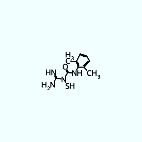 Cc1cccc(C)c1NC(=O)N(S)C(=N)N